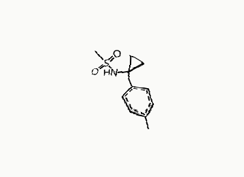 Cc1ccc(C2(NS(C)(=O)=O)CC2)cc1